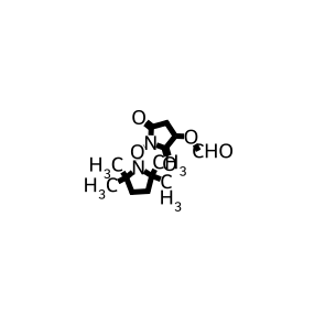 CC1(C)CCC(C)(C)N1ON1C(=O)CC(OC=O)C1=O